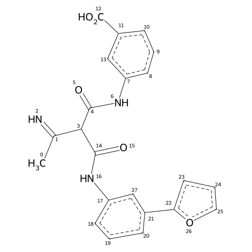 CC(=N)C(C(=O)Nc1cccc(C(=O)O)c1)C(=O)Nc1cccc(-c2ccco2)c1